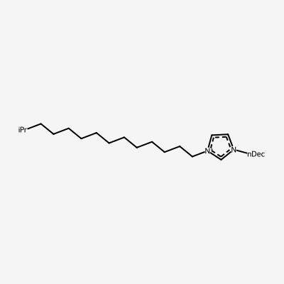 CCCCCCCCCCn1cc[n+](CCCCCCCCCCCCC(C)C)c1